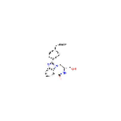 CNCc1ccc(-c2nc3cccc4c3n2C[C@H](CO)NC4=O)cc1